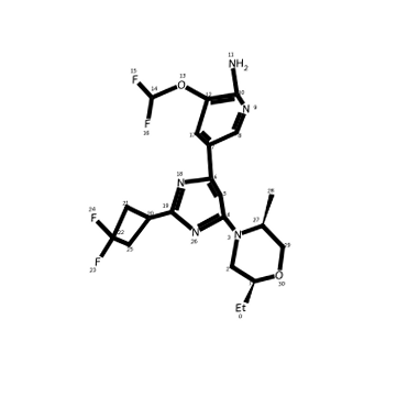 CC[C@H]1CN(c2cc(-c3cnc(N)c(OC(F)F)c3)nc(C3CC(F)(F)C3)n2)[C@@H](C)CO1